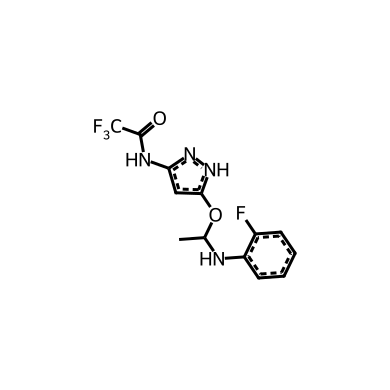 CC(Nc1ccccc1F)Oc1cc(NC(=O)C(F)(F)F)n[nH]1